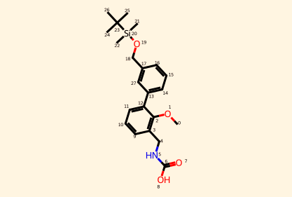 COc1c(CNC(=O)O)cccc1-c1cccc(CO[Si](C)(C)C(C)(C)C)c1